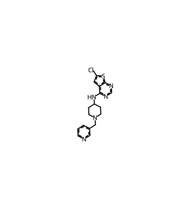 Clc1cc2c(NC3CCN(Cc4cccnc4)CC3)ncnc2s1